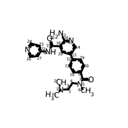 CN(C)CCN(C)C(=O)c1ccc(-c2cnc(N)c(C(=O)Nc3ccncc3)c2)cc1